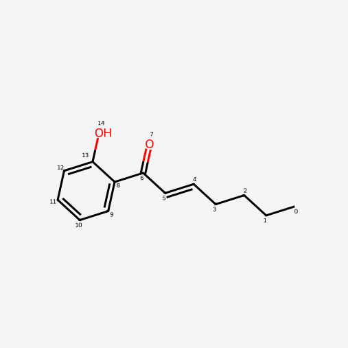 CCCC/C=C/C(=O)c1ccccc1O